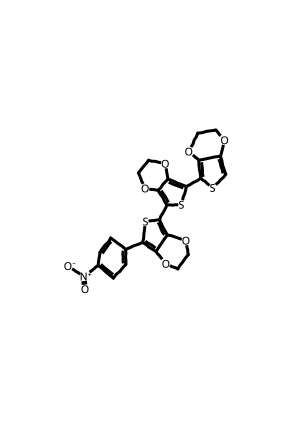 O=[N+]([O-])c1ccc(-c2sc(-c3sc(-c4scc5c4OCCO5)c4c3OCCO4)c3c2OCCO3)cc1